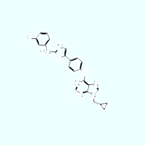 Fc1cccc(Nc2ncc(-c3ccc(Oc4ncnc5c4ncn5CC4CC4)cc3)s2)c1